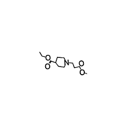 CCOC(=O)C1CCN(CCC(=O)OC)CC1